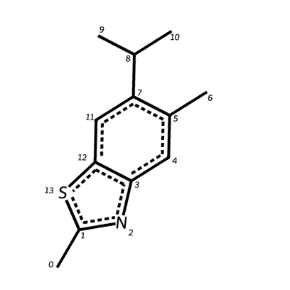 Cc1nc2cc(C)c(C(C)C)cc2s1